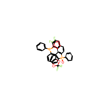 O=P(c1ccccc1)(c1ccccc1)c1ccc2c(c1-c1c(P(c3ccccc3)c3ccccc3)ccc3c1OC(F)(F)O3)OC(F)(F)O2